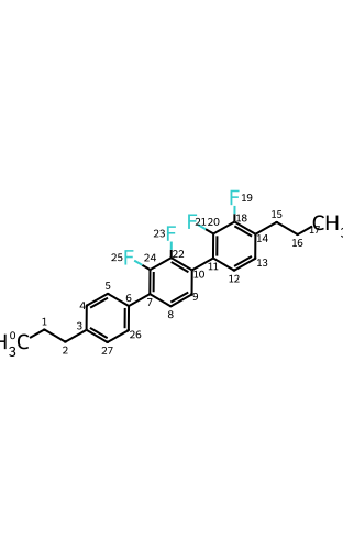 CCCc1ccc(-c2ccc(-c3ccc(CCC)c(F)c3F)c(F)c2F)cc1